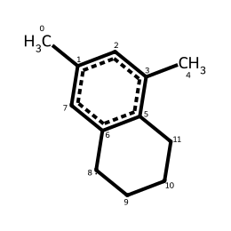 Cc1cc(C)c2c(c1)[CH]CCC2